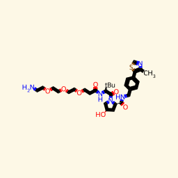 Cc1ncsc1-c1ccc(CNC(=O)[C@@H]2C[C@H](O)CN2C(=O)[C@@H](NC(=O)CCOCCOCCOCCN)C(C)(C)C)cc1